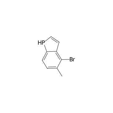 Cc1ccc2[pH]ccc2c1Br